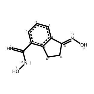 N=C(NO)c1cccc2c1CC/C2=N\O